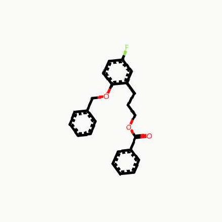 O=C(OCCCc1cc(F)ccc1OCc1ccccc1)c1ccccc1